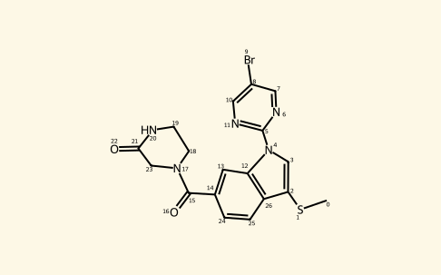 CSc1cn(-c2ncc(Br)cn2)c2cc(C(=O)N3CCNC(=O)C3)ccc12